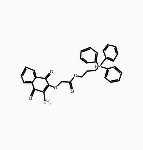 CC1=C(OCC(=O)OCCC[PH](c2ccccc2)(c2ccccc2)c2ccccc2)C(=O)c2ccccc2C1=O